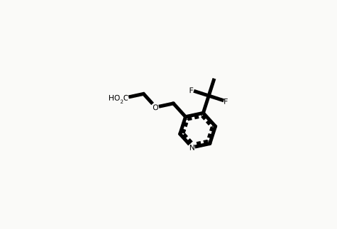 CC(F)(F)c1ccncc1COCC(=O)O